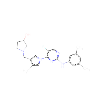 Cc1cc(C)cc(Nc2ncc(F)c(-n3cc(C)c(CN4CCC(O)C4)c3)n2)c1